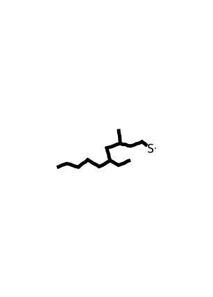 CCCCCC(CC)CC(C)CC[S]